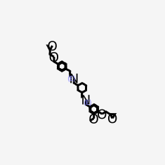 COc1cc(/C=N/CC2CCCC(C/N=C/Cc3ccc(COCC4CO4)cc3)C2)ccc1OCC1CO1